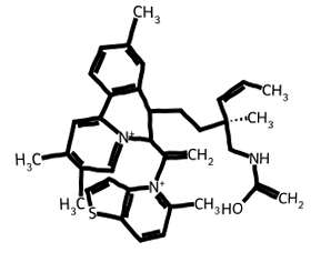 C=C(O)NC[C@](C)(/C=C\C)CCC1c2cc(C)ccc2-c2cc(C)c(C)c[n+]2C1C(=C)[n+]1c(C)ccc2sccc21